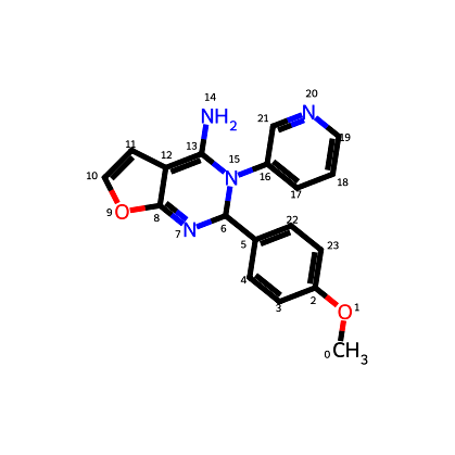 COc1ccc(C2N=c3occc3=C(N)N2c2cccnc2)cc1